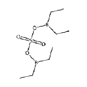 CCB(CC)OS(=O)(=O)OB(CC)CC